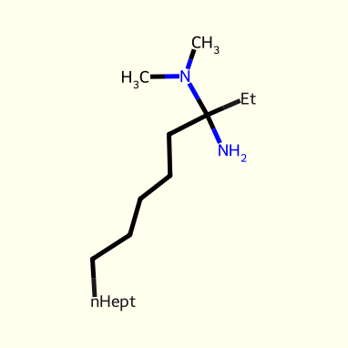 CCCCCCCCCCCCC(N)(CC)N(C)C